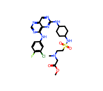 COC(=O)CN(C)CCS(=O)(=O)NC1CCC(Nc2ncc3ncnc(Nc4ccc(F)c(Cl)c4)c3n2)CC1